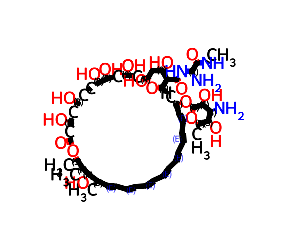 CNC(=O)[C@H](N)NC(=O)C1[C@@H]2C[C@@H](O[C@@H]3O[C@H](C)[C@@H](O)[C@H](N)[C@@H]3O)/C=C/C=C/C=C/C=C/C=C/C=C/C=C/[C@H](C)[C@@H](O)[C@@H](C)[C@H](C)OC(=O)C[C@H](O)C[C@H](O)CC[C@@H](O)[C@H](O)C[C@H](O)C[C@](O)(C[C@@H]1O)O2